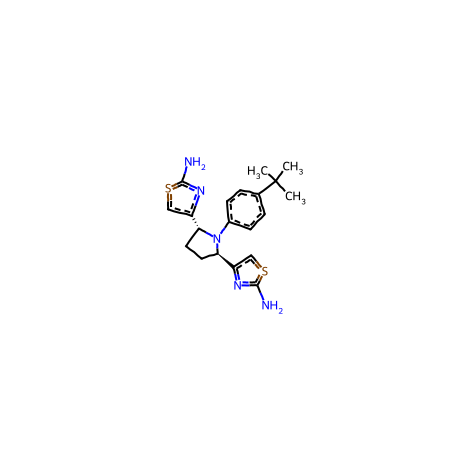 CC(C)(C)c1ccc(N2[C@@H](c3csc(N)n3)CC[C@@H]2c2csc(N)n2)cc1